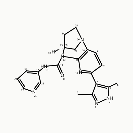 Cc1n[nH]c(C)c1-c1ccc2c(n1)N(C(=O)Nc1cccnc1)[C@H]1CCN2C1